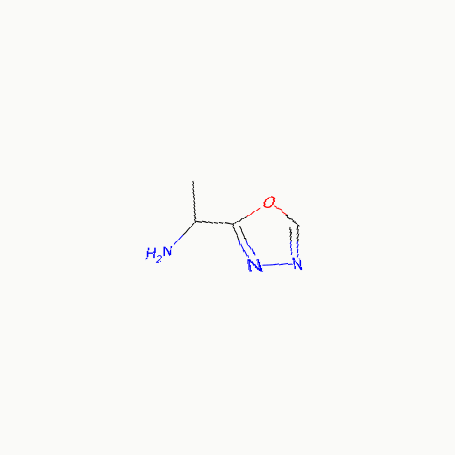 CC(N)c1nnco1